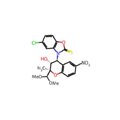 COC(OC)[C@]1(C)Oc2ccc([N+](=O)[O-])cc2[C@H](n2c(=S)oc3ccc(Cl)cc32)[C@H]1O